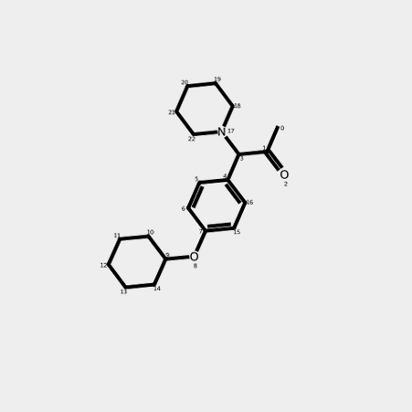 CC(=O)C(c1ccc(OC2CCCCC2)cc1)N1CCCCC1